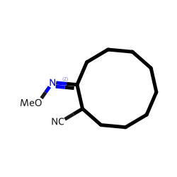 CO/N=C1/CCCCCCCCC1C#N